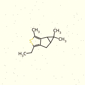 CCc1sc(C)c2c1CC1C2C1(C)C